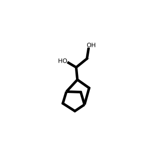 O[CH]C(O)C1CC2CCC1C2